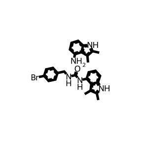 Cc1[nH]c2cccc(N)c2c1C.Cc1[nH]c2cccc(NC(=O)NCc3ccc(Br)cc3)c2c1C